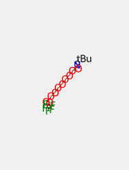 CC(C)(C)C1CCN(C(=O)CCOCCOCCOCCOCCOCCOCCOCCC(=O)Oc2c(F)c(F)c(F)c(F)c2F)CC1